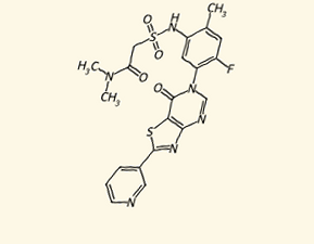 Cc1cc(F)c(-n2cnc3nc(-c4cccnc4)sc3c2=O)cc1NS(=O)(=O)CC(=O)N(C)C